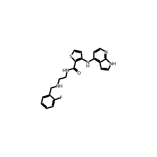 O=C(NCCNCc1ccccc1F)c1sccc1Nc1ccnc2[nH]ccc12